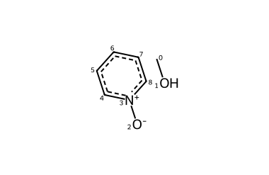 CO.[O-][n+]1ccccc1